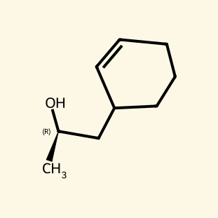 C[C@@H](O)CC1C=CCCC1